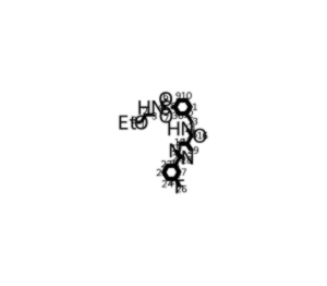 CCOCCNS(=O)(=O)c1cccc(CNC(=O)c2cnc(-c3cccc(F)c3)nc2)c1